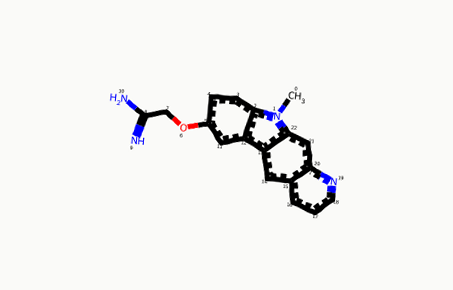 Cn1c2ccc(OCC(=N)N)cc2c2cc3cccnc3cc21